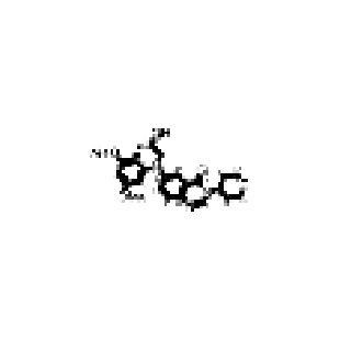 COc1cc(OC)c(F)c(N(CCO)c2ccc3ncn(C4CCOCC4)c(=O)c3c2)c1